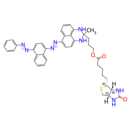 CC1(CCCOC(=O)CCCC[C@H]2SC[C@H]3NC(=O)N[C@H]32)Nc2cccc3c(/N=N/c4ccc(/N=N/c5ccccc5)c5ccccc45)ccc(c23)N1